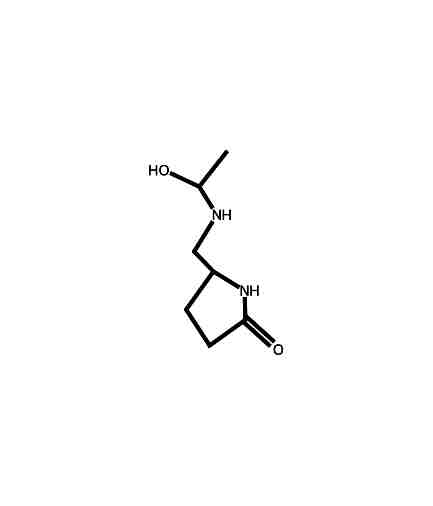 CC(O)NCC1CCC(=O)N1